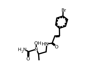 CC(CNC(=O)C=Cc1ccc(Br)cc1)N(O)C(N)=O